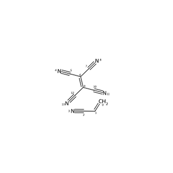 C=CC#N.N#CC(C#N)=C(C#N)C#N